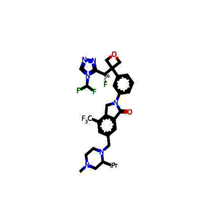 CC(C)C1CN(C)CCN1Cc1cc2c(c(C(F)(F)F)c1)CN(c1cccc(C3([C@H](F)c4nncn4C(F)F)COC3)c1)C2=O